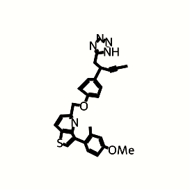 CC#CC(Cc1nnn[nH]1)c1ccc(OCc2ccc3scc(-c4ccc(OC)cc4C)c3n2)cc1